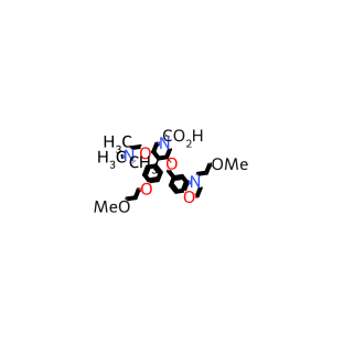 COCCCOc1ccc([C@@H]2[C@@H](OCc3ccc4c(c3)N(CCCOC)CCO4)CN(C(=O)O)C[C@H]2OC[C@@H](C)N(C)C)cc1